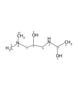 CC(O)NCC(O)CN(C)C